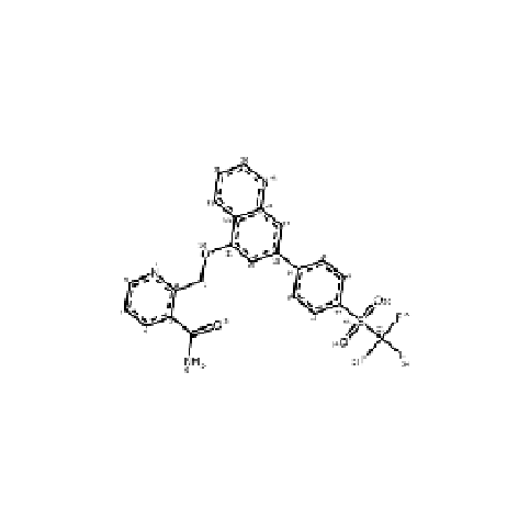 NC(=O)c1cccnc1COc1cc(-c2ccc(S(=O)(=O)C(F)(F)F)cc2)cc2ncccc12